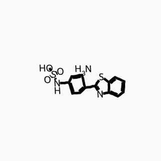 N.O=S(=O)(O)Nc1ccc(-c2nc3ccccc3s2)cc1